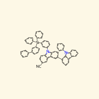 N#Cc1ccc2c(c1)c1cc(-c3cccc4c5ccccc5n(-c5ccccc5)c34)ccc1n2-c1cccc([Si](c2ccccc2)(c2ccccc2)c2cccc(-c3ccccc3)c2)c1